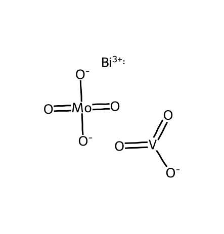 [Bi+3].[O]=[Mo](=[O])([O-])[O-].[O]=[V](=[O])[O-]